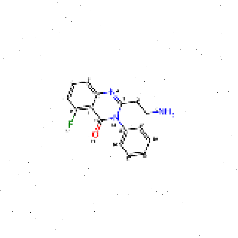 NCCc1nc2cccc(F)c2c(=O)n1-c1ccccc1